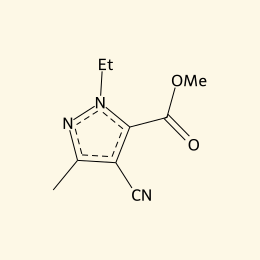 CCn1nc(C)c(C#N)c1C(=O)OC